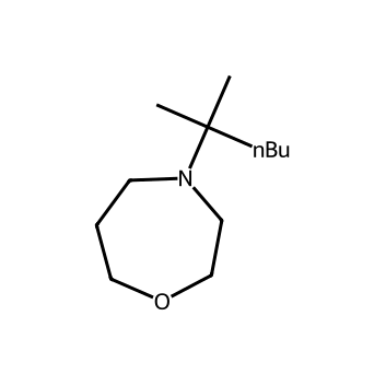 CCCCC(C)(C)N1CCCOCC1